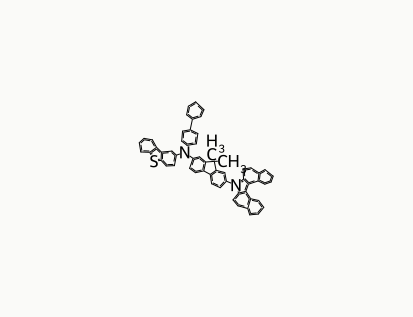 CC1(C)c2cc(N(c3ccc(-c4ccccc4)cc3)c3ccc4sc5ccccc5c4c3)ccc2-c2ccc(-n3c4ccc5ccccc5c4c4c5ccccc5ccc43)cc21